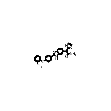 NC(=O)C(c1ccc2nc(-c3ccc(Oc4ccccc4C(F)(F)F)cc3)[nH]c2c1)c1nccs1